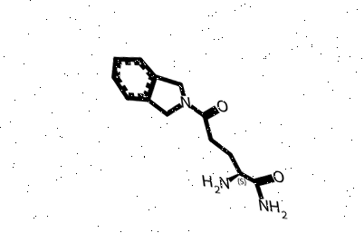 NC(=O)[C@@H](N)CCC(=O)N1Cc2ccccc2C1